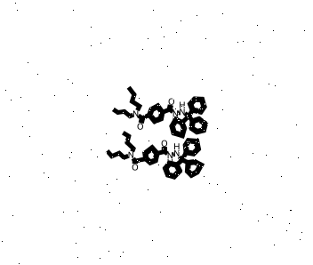 CCCCN(CCCC)C(=O)c1ccc(C(=O)NNC(c2ccccc2)(c2ccccc2)c2ccccc2)cc1.CCCCN(CCCC)C(=O)c1ccc(C(=O)NNC(c2ccccc2)(c2ccccc2)c2ccccc2)cc1